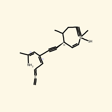 C=C=C/C=C(C#C[C@@H]1C=CS(C)(S)#CCC1C)\C=C(\C)N